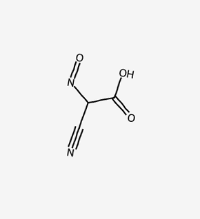 N#CC(N=O)C(=O)O